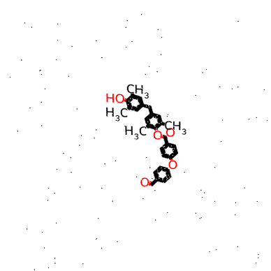 Cc1cc(Cc2cc(C)c(OC(=O)c3ccc(Oc4ccc(C=O)cc4)cc3)c(C)c2)cc(C)c1O